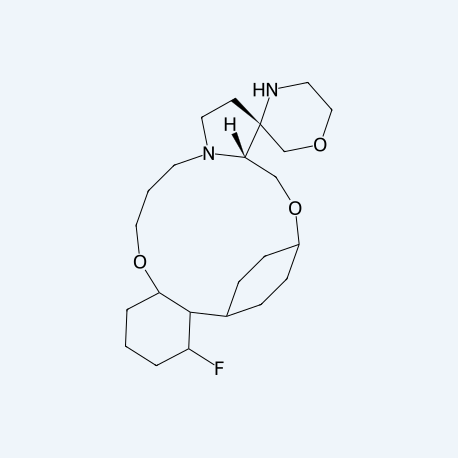 FC1CCCC2OCCCN3CC[C@@]4(COCCN4)[C@@H]3COC3CCC(CC3)C12